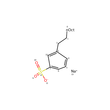 CCCCCCCCCCc1cccc(S(=O)(=O)[O-])c1.[Na+]